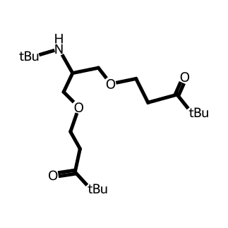 CC(C)(C)NC(COCCC(=O)C(C)(C)C)COCCC(=O)C(C)(C)C